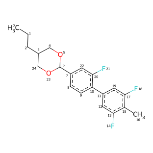 CCCC1COC(c2ccc(-c3cc(F)c(C)c(F)c3)c(F)c2)OC1